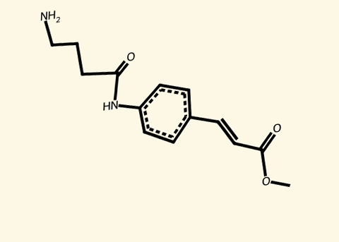 COC(=O)/C=C/c1ccc(NC(=O)CCCN)cc1